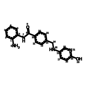 Nc1ccccc1NC(=O)c1ccc(CNc2ccc(O)nc2)cc1